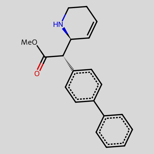 COC(=O)[C@@H](c1ccc(-c2ccccc2)cc1)[C@@H]1C=CCCN1